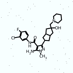 Cn1nc(C2CC3CC(O)(CN4CCCCC4)CC3C2)c(C(=O)Nc2ccc(F)c(Cl)c2)c1N